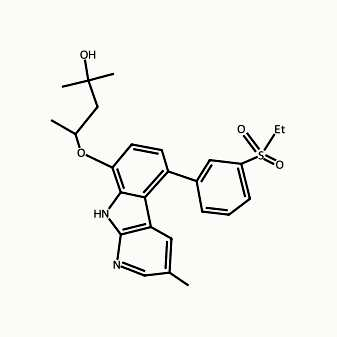 CCS(=O)(=O)c1cccc(-c2ccc(OC(C)CC(C)(C)O)c3[nH]c4ncc(C)cc4c23)c1